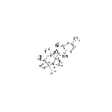 O=C(Nc1ccc(C(F)(F)F)cc1Br)C1(F)C(F)(F)C(F)(F)C(F)(F)C(F)(F)C1(F)F